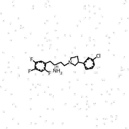 N[C@@H](CCN1CCC(c2cccc(Cl)c2)C1)Cc1cc(F)c(F)cc1F